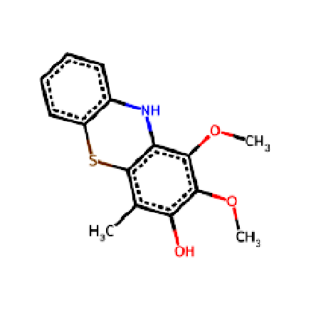 COc1c(O)c(C)c2c(c1OC)Nc1ccccc1S2